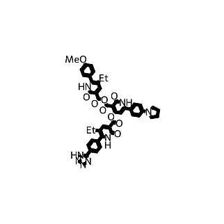 CCc1cc(C(=O)OC(=O)c2c(OC(=O)c3cc(CC)c(-c4ccc(-c5nnn[nH]5)cc4)[nH]c3=O)cc(-c3ccc(N4CCCC4)cc3)[nH]c2=O)c(=O)[nH]c1-c1ccc(OC)cc1